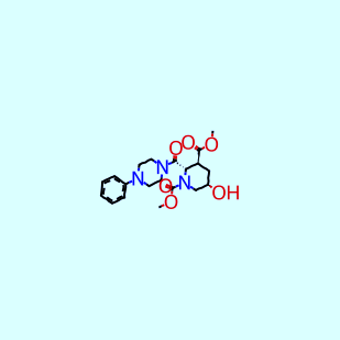 COC(=O)[C@H]1C[C@@H](O)CN(C(=O)OC)[C@@H]1C(=O)N1CCN(c2ccccc2)CC1